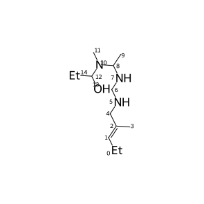 CC/C=C(\C)CNCNC(C)N(C)C(O)CC